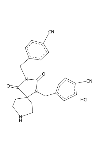 Cl.N#Cc1ccc(CN2C(=O)N(Cc3ccc(C#N)cc3)C3(CCNCC3)C2=O)cc1